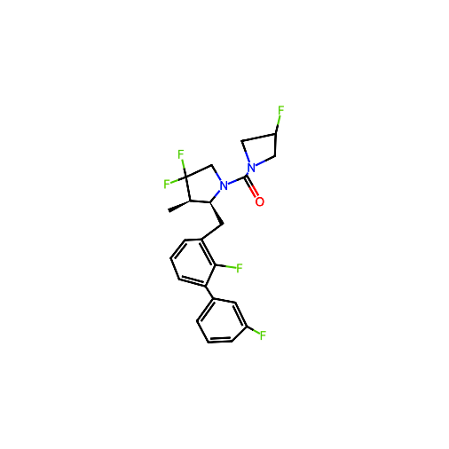 C[C@@H]1[C@H](Cc2cccc(-c3cccc(F)c3)c2F)N(C(=O)N2CC(F)C2)CC1(F)F